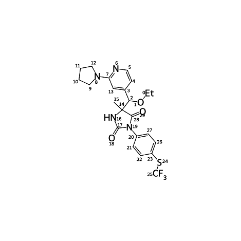 CCOC(c1ccnc(N2CCCC2)c1)C1(C)NC(=O)N(c2ccc(SC(F)(F)F)cc2)C1=O